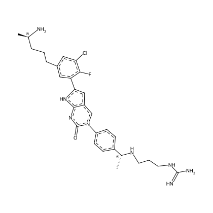 C[C@@H](N)CCCc1cc(Cl)c(F)c(-c2cc3cn(-c4ccc([C@@H](C)NCCCNC(=N)N)cc4)c(=O)nc3[nH]2)c1